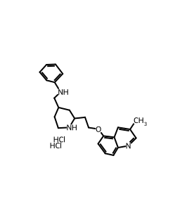 Cc1cnc2cccc(OCCC3CC(CNc4ccccc4)CCN3)c2c1.Cl.Cl